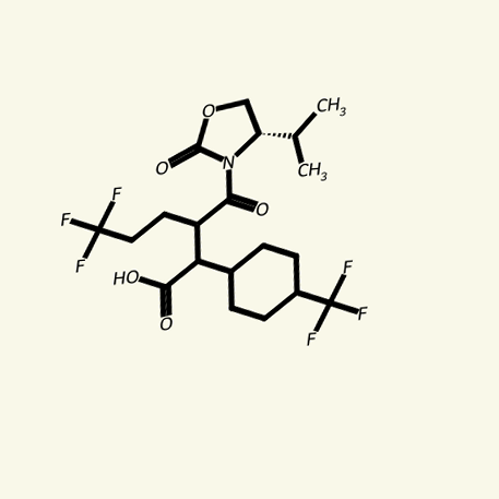 CC(C)[C@H]1COC(=O)N1C(=O)C(CCC(F)(F)F)C(C(=O)O)C1CCC(C(F)(F)F)CC1